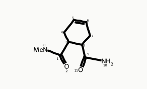 CNC(=O)C1CC=CCC1C(N)=O